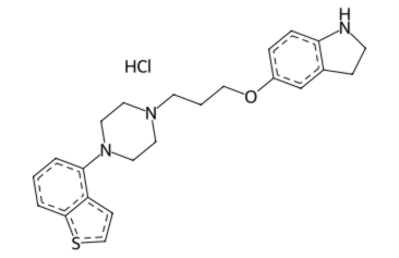 Cl.c1cc(N2CCN(CCCOc3ccc4c(c3)CCN4)CC2)c2ccsc2c1